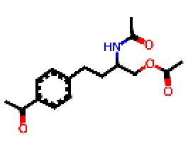 CC(=O)NC(CCc1ccc(C(C)=O)cc1)COC(C)=O